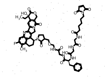 CC[C@@]1(O)C(=O)OCc2c1cc1n(c2=O)Cc2c-1nc1cc(F)c(C)c3c1c2[C@@H](N1CCC(COCNC(=O)CNC(=O)[C@H](Cc2ccccc2)NC(=O)CNC(=O)CNC(=O)CCCCCN2C(=O)C=CC2=O)C1=O)CC3